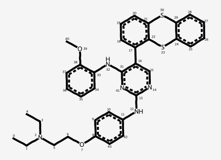 CCN(CC)CCOc1ccc(Nc2ncc(-c3cccc4c3Sc3ccccc3S4)c(Nc3ccccc3OC)n2)cc1